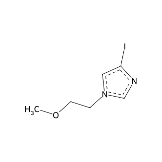 COCCn1cnc(I)c1